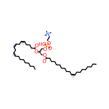 CCCCCCCC/C=C\C/C=C\C/C=C\CCCC(=O)O[C@H](COC(=O)CCCCCCCCC/C=C\CCCCCCCC)COP(=O)(O)OCC[N+](C)(C)C